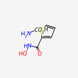 NC(=O)O.O=C(NO)c1cccs1